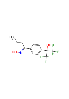 CCCC(=NO)c1ccc(C(O)(C(F)(F)F)C(F)(F)F)cc1